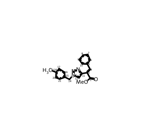 COC(=O)C(=Cc1ccccc1)c1cn(Cc2ccc(C)cc2)nn1